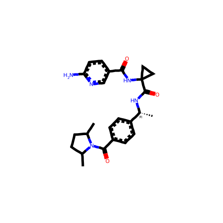 CC1CCC(C)N1C(=O)c1ccc([C@@H](C)NC(=O)C2(NC(=O)c3ccc(N)nc3)CC2)cc1